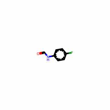 O=CNc1ccc(F)cc1